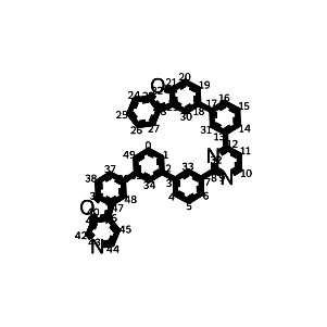 c1cc(-c2cccc(-c3nccc(-c4cccc(-c5ccc6oc7ccccc7c6c5)c4)n3)c2)cc(-c2ccc3oc4cnccc4c3c2)c1